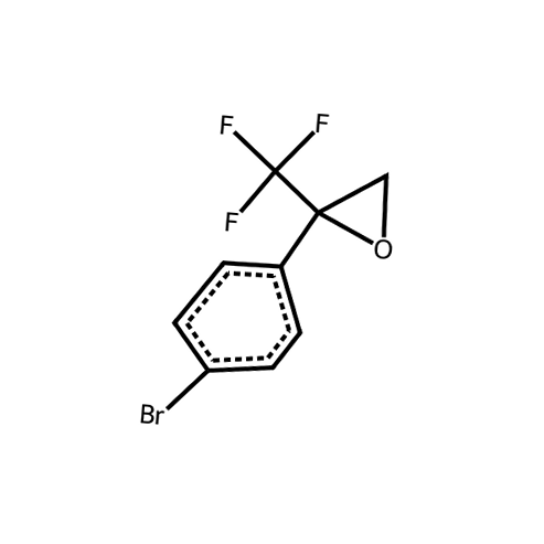 FC(F)(F)C1(c2ccc(Br)cc2)CO1